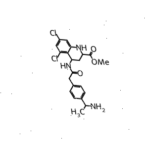 COC(=O)C1CC(NC(=O)Cc2ccc(C(C)N)cc2)c2c(Cl)cc(Cl)cc2N1